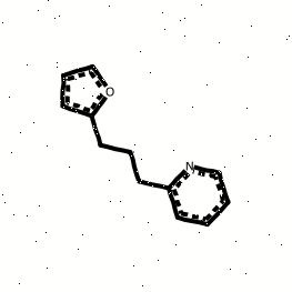 [CH](Cc1ccccn1)Cc1ccco1